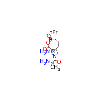 CCCOB1CCCC2CN(C(=O)[C@H](C)N)C[C@@]2(N)C(=O)O1